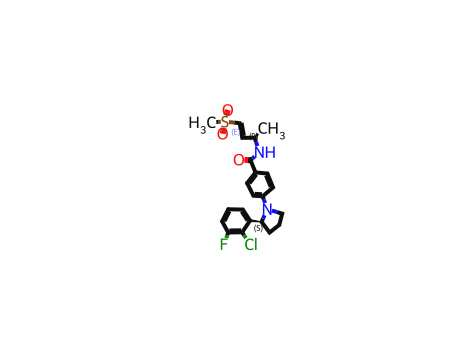 C[C@H](/C=C/S(C)(=O)=O)NC(=O)c1ccc(N2CCC[C@H]2c2cccc(F)c2Cl)cc1